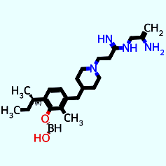 C=C(N)CNC(=N)CCN1CCC(Cc2ccc([C@H](C)CC)c(OBO)c2C)CC1